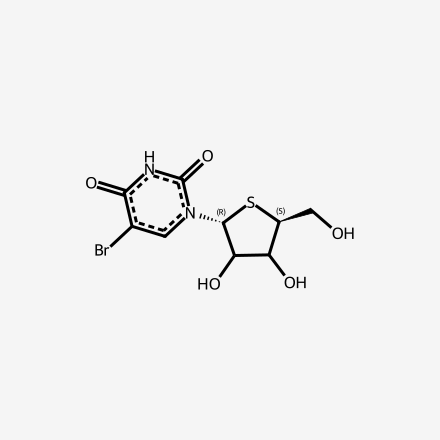 O=c1[nH]c(=O)n([C@@H]2S[C@@H](CO)C(O)C2O)cc1Br